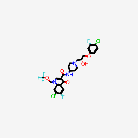 O=C(NC1CCN(C[C@@H](O)COc2ccc(Cl)c(F)c2)CC1)c1cn(COC(F)(F)F)c2cc(Cl)c(F)cc2c1=O